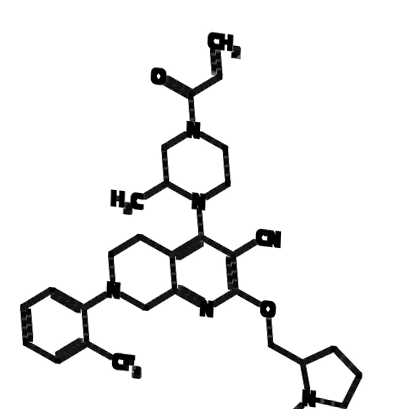 C=CC(=O)N1CCN(c2c(C#N)c(OCC3CCCN3C)nc3c2CCN(c2ccccc2C(F)(F)F)C3)C(C)C1